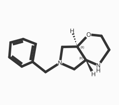 c1ccc(CN2C[C@H]3NCCO[C@@H]3C2)cc1